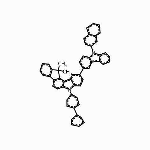 CC1(C)c2ccccc2-c2ccc3c(c21)c1cc(-c2ccc4c(c2)c2ccccc2n4-c2ccc4ccccc4c2)ccc1n3-c1ccc(-c2ccccc2)cc1